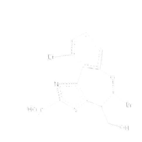 CCc1cccc2c1-c1nc(C(=O)O)sc1C(CO)C(Br)O2